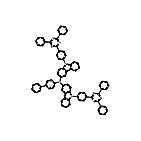 c1ccc(-c2ccc(N(c3ccc4c(c3)c3ccccc3n4-c3ccc(-c4nc(-c5ccccc5)nc(-c5ccccc5)n4)cc3)c3ccc4c(c3)c3ccccc3n4-c3ccc(-c4nc(-c5ccccc5)nc(-c5ccccc5)n4)cc3)cc2)cc1